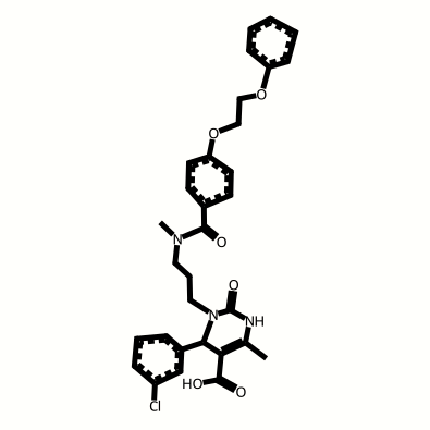 CC1=C(C(=O)O)C(c2cccc(Cl)c2)N(CCCN(C)C(=O)c2ccc(OCCOc3ccccc3)cc2)C(=O)N1